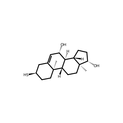 C[C@]12CC[C@H]3[C@@H]([C@@H](O)C=C4C[C@H](S)CC[C@@]43C)[C@@H]1CC[C@@H]2O